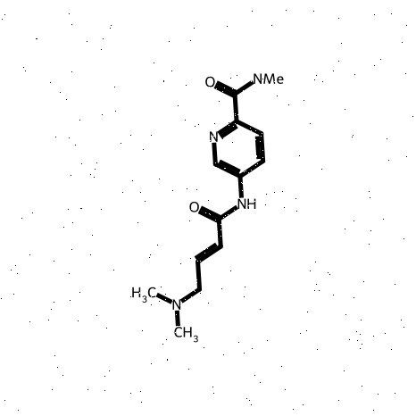 CNC(=O)c1ccc(NC(=O)/C=C/CN(C)C)cn1